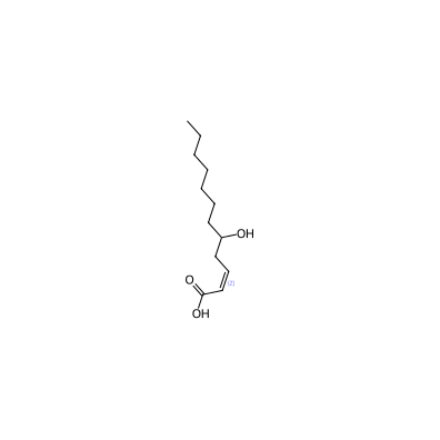 CCCCCCCC(O)C/C=C\C(=O)O